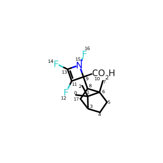 CC1(C)C2CCC1(C)C(C1(C(=O)O)C(F)=C(F)N1F)C2